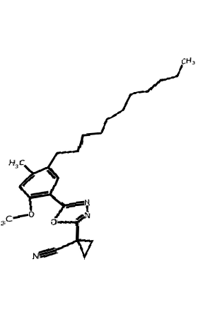 CCCCCCCCCCCc1cc(-c2nnc(C3(C#N)CC3)o2)c(OC)cc1C